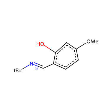 COc1ccc(/C=N/C(C)(C)C)c(O)c1